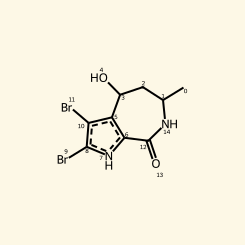 CC1CC(O)c2c([nH]c(Br)c2Br)C(=O)N1